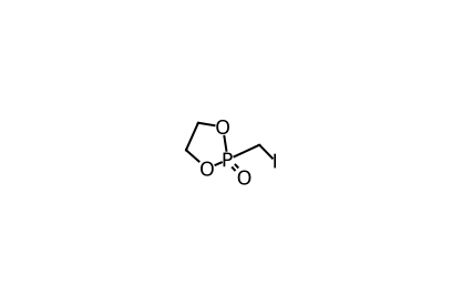 O=P1(CI)OCCO1